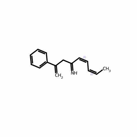 C=C(CC(=N)/C=C\C=C/C)c1ccccc1